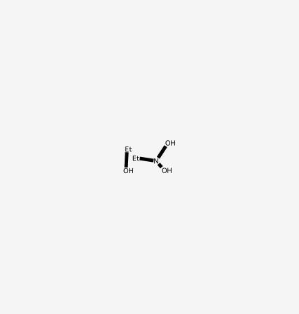 CCN(O)O.CCO